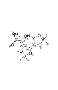 CC1(C)O[C@H]([C@H]2COC(C)(C)O2)[C@@H]([C@@H](O)C(N)=O)O1